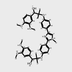 COc1ccc(C(O)C(C)(C)Oc2ccc(-c3cn(C)c(-c4ccc(OC(C)(C)C(O)c5ccc(OC)c(OC)c5)cc4)n3)cc2)cc1OC